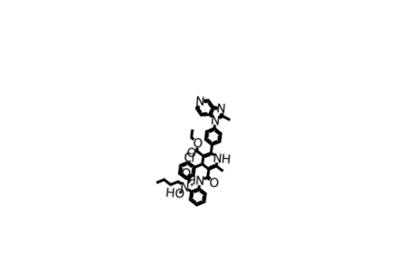 CCCC[N+](O)(C=O)c1ccccc1NC(=O)C1=C(C)NC(c2ccc(-n3c(C)nc4cnccc43)cc2)=C(C(=O)OCC)C1c1ccccc1Cl